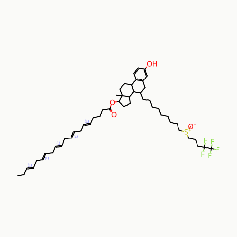 CC/C=C/C/C=C/C/C=C/C/C=C/C/C=C/CCCC(=O)OC1CCC2C3C(CCCCCCCCC[S+]([O-])CCCC(F)(F)C(F)(F)F)Cc4cc(O)ccc4C3CCC12C